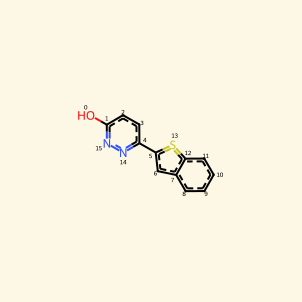 Oc1ccc(-c2cc3ccccc3s2)nn1